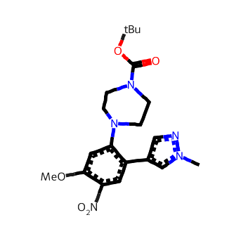 COc1cc(N2CCN(C(=O)OC(C)(C)C)CC2)c(-c2cnn(C)c2)cc1[N+](=O)[O-]